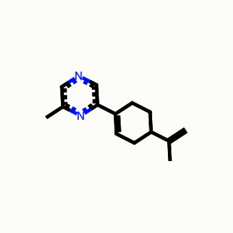 C=C(C)C1CC=C(c2cncc(C)n2)CC1